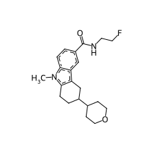 Cn1c2c(c3cc(C(=O)NCCF)ccc31)CC(C1CCOCC1)CC2